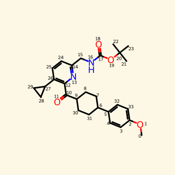 COc1ccc(C2CCC(C(=O)c3nc(CNC(=O)OC(C)(C)C)ccc3C3CC3)CC2)cc1